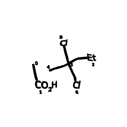 CC(=O)O.CCC(C)(Cl)Cl